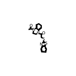 CC(=O)N1CCN(C(=O)CSc2nc3ccccc3s2)C2=CCCC=C21